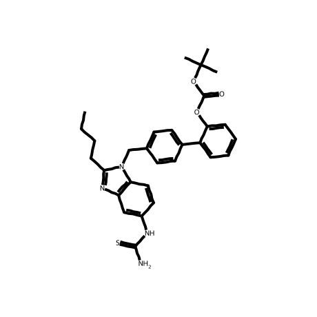 CCCCc1nc2cc(NC(N)=S)ccc2n1Cc1ccc(-c2ccccc2OC(=O)OC(C)(C)C)cc1